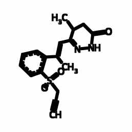 C#CCS(=O)(=O)c1ccccc1C(C)=CC1=NNC(=O)CC1C